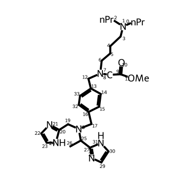 CCCN(CCC)CCCCN(CC(=O)OC)Cc1ccc(CN(Cc2ncc[nH]2)C(C)c2ncc[nH]2)cc1